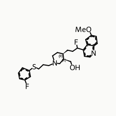 COc1ccc2nccc(C(F)CC[C@@H]3CCN(CCCSc4cccc(F)c4)C[C@@H]3CO)c2c1